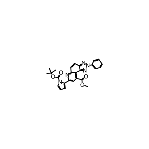 COC(=O)c1cc(-c2cccn2C(=O)OC(C)(C)C)nc2ccc3nn(-c4ccccc4)nc3c12